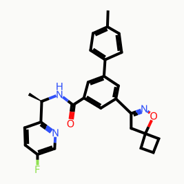 Cc1ccc(-c2cc(C(=O)N[C@H](C)c3ccc(F)cn3)cc(C3=NOC4(CCC4)C3)c2)cc1